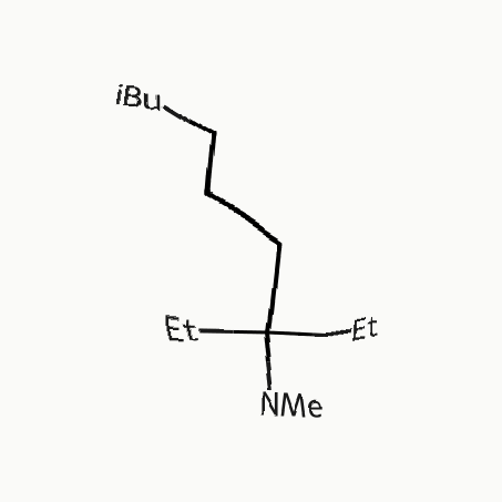 CCC(C)CCCC(CC)(CC)NC